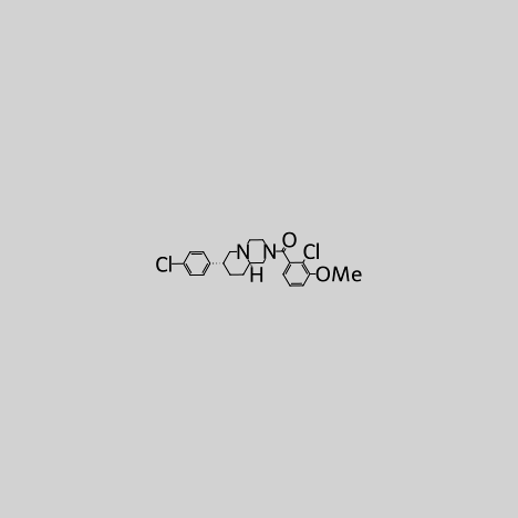 COc1cccc(C(=O)N2CCN3C[C@@H](c4ccc(Cl)cc4)CC[C@@H]3C2)c1Cl